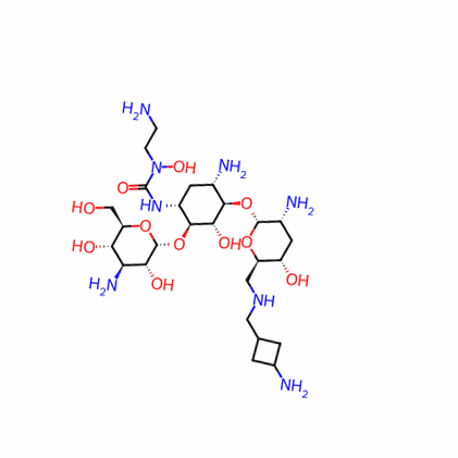 NCCN(O)C(=O)N[C@@H]1C[C@H](N)[C@@H](O[C@H]2O[C@H](CNCC3CC(N)C3)[C@@H](O)C[C@H]2N)[C@H](O)[C@H]1O[C@H]1O[C@H](CO)[C@@H](O)[C@H](N)[C@H]1O